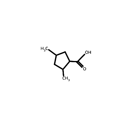 CC1CC(C)C(C(=O)O)C1